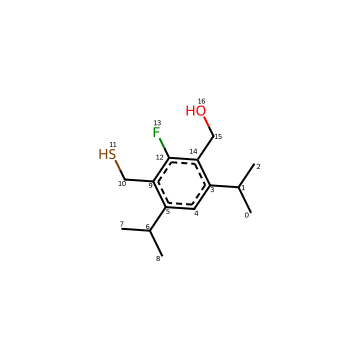 CC(C)c1cc(C(C)C)c(CS)c(F)c1CO